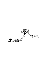 CCCCCCCCCCCCCCOc1cc(OCCCOc2ccc(OCc3ccccc3)cc2)cc(C(=O)OC)c1